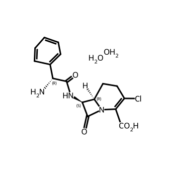 N[C@@H](C(=O)N[C@@H]1C(=O)N2C(C(=O)O)=C(Cl)CC[C@H]12)c1ccccc1.O.O